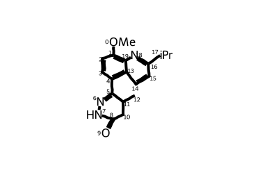 COc1ccc(C2=NNC(=O)CC2C)c2ccc(C(C)C)nc12